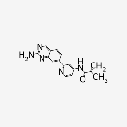 C=C(C)C(=O)Nc1ccnc(-c2ccc3cnc(N)nc3c2)c1